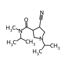 CC(C)N1CC(C#N)C(C(=O)N(C)C(C)C)C1